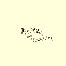 CC(O)CN(C)C.CCCCCCCC/C=C\CCCCCCCC(=O)O